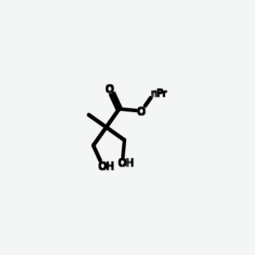 CCCOC(=O)C(C)(CO)CO